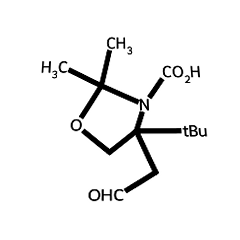 CC1(C)OCC(CC=O)(C(C)(C)C)N1C(=O)O